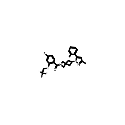 Cc1cc(-c2ccccc2C)n(C2CC3(C2)CN(C(=O)c2ccc(F)cc2OCC(F)(F)F)C3)n1